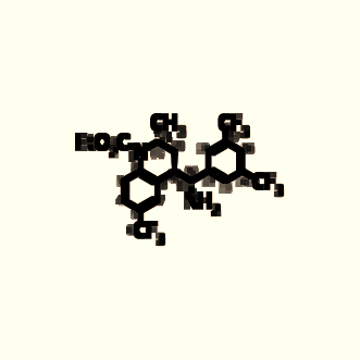 CCOC(=O)N1c2ccc(C(F)(F)F)cc2[C@H]([C@H](N)c2cc(C(F)(F)F)cc(C(F)(F)F)c2)C[C@H]1C